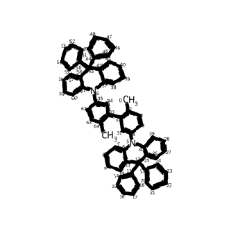 Cc1ccc(N2c3ccccc3C(c3ccccc3)(c3ccccc3)c3ccccc32)cc1-c1cc(N2c3ccccc3C(c3ccccc3)(c3ccccc3)c3ccccc32)ccc1C